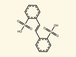 O=S(=O)(O)c1ccccc1C=Cc1ccccc1S(=O)(=O)O